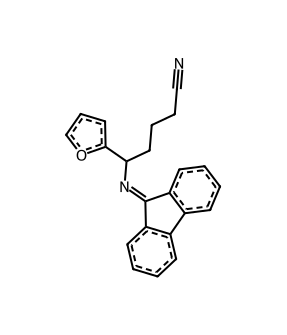 N#CCCCC(N=C1c2ccccc2-c2ccccc21)c1ccco1